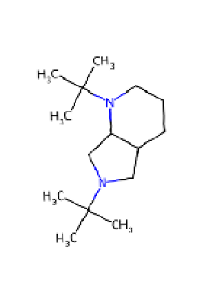 CC(C)(C)N1CC2CCCN(C(C)(C)C)C2C1